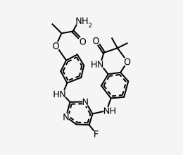 CC(Oc1cccc(Nc2ncc(F)c(Nc3ccc4c(c3)NC(=O)C(C)(C)O4)n2)c1)C(N)=O